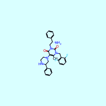 Cc1c(N2CCNC(c3ccccc3)C2)c(=O)n(C[C@@H](N)c2ccccc2)c(=O)n1Cc1c(F)cccc1F